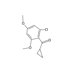 COc1cc(Cl)c(C(=O)C2CC2)c(OC)c1